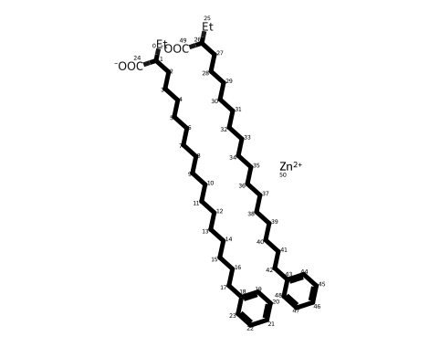 CCC(CCCCCCCCCCCCCCCCc1ccccc1)C(=O)[O-].CCC(CCCCCCCCCCCCCCCCc1ccccc1)C(=O)[O-].[Zn+2]